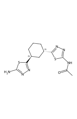 CC(=O)Nc1nnc([C@H]2CCC[C@H](c3nnc(N)s3)C2)s1